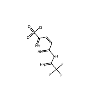 N=C(/C=C\C(=N)S(=O)(=O)Cl)NC(=N)C(F)(F)F